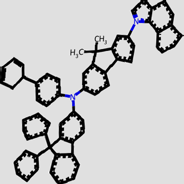 CC1(C)c2cc(N(c3ccc(C4C=CC=CC4)cc3)c3ccc4c(c3)C(c3ccccc3)(c3ccccc3)c3ccccc3-4)ccc2-c2ccc(-n3ccc4ccc5ccccc5c43)cc21